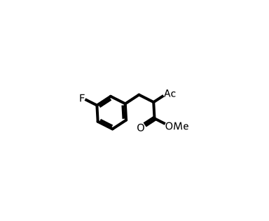 COC(=O)C(Cc1cccc(F)c1)C(C)=O